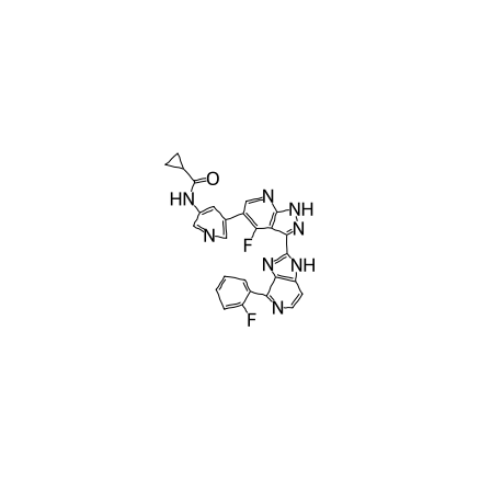 O=C(Nc1cncc(-c2cnc3[nH]nc(-c4nc5c(-c6ccccc6F)nccc5[nH]4)c3c2F)c1)C1CC1